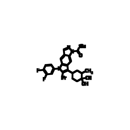 CC(C)c1c(C2CCC(O)(C#N)C(C)C2)c2cc3c(cnn3C(=O)C(C)(C)C)cc2n1-c1ccc(F)c(F)c1